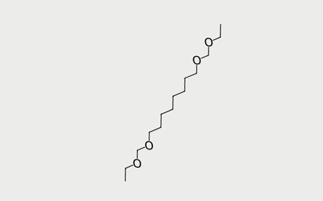 CCOCOCCCCCCCCOCOCC